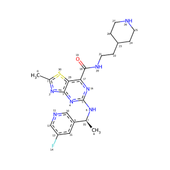 Cc1nc2nc(N[C@@H](C)c3cncc(F)c3)nc(C(=O)NCCC3CCNCC3)c2s1